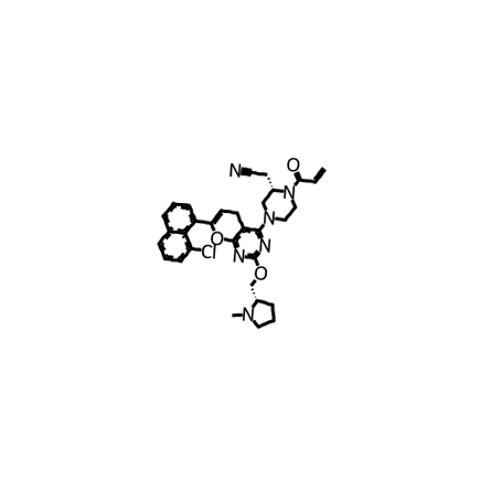 C=CC(=O)N1CCN(c2nc(OC[C@@H]3CCCN3C)nc3c2CC=C(c2cccc4cccc(Cl)c24)O3)C[C@@H]1CC#N